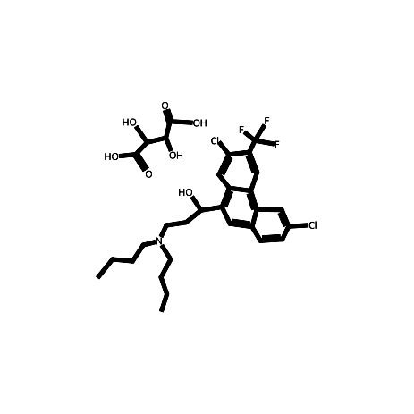 CCCCN(CCCC)CCC(O)c1cc2ccc(Cl)cc2c2cc(C(F)(F)F)c(Cl)cc12.O=C(O)C(O)C(O)C(=O)O